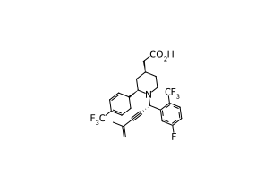 C=C(C)C#C[C@@H](c1cc(F)ccc1C(F)(F)F)N1CC[C@H](CC(=O)O)C[C@@H]1C1C=CC(C(F)(F)F)=CC1